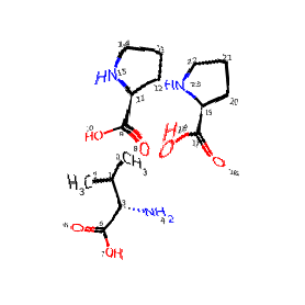 CC(C)[C@H](N)C(=O)O.O=C(O)[C@@H]1CCCN1.O=C(O)[C@@H]1CCCN1